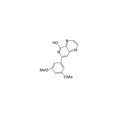 COc1cc(OC)cc(-c2cc3nccnc3c(O)n2)c1